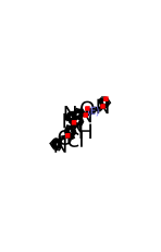 O=C(/C=C/CN1CCCCC1)Nc1ccc2ncnc3c2c1C=CN3c1ccc(OCc2ccccn2)c(Cl)c1